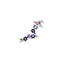 CC(C)(C)OC(=O)N1CCN(c2cccc(Cn3nc(-c4nc(-c5ccc(OC(F)(F)F)cc5)no4)ccc3=O)c2)CC1